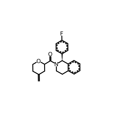 C=C1CCOC(C(=O)N2CCc3ccccc3[C@@H]2c2ccc(F)cc2)C1